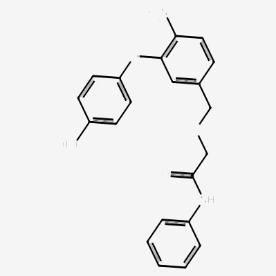 CC(C)(C)c1ccc(Oc2cc(COCC(=O)Nc3ccccc3)ccc2[N+](=O)[O-])cc1